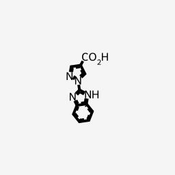 O=C(O)c1cnn(-c2nc3ccccc3[nH]2)c1